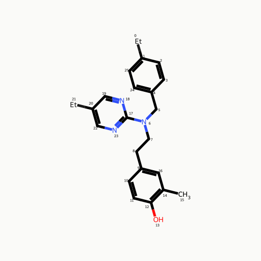 CCc1ccc(CN(CCc2ccc(O)c(C)c2)c2ncc(CC)cn2)cc1